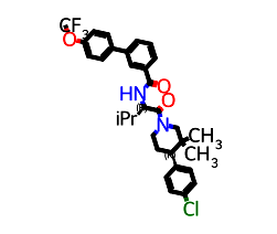 CC(C)[C@@H](NC(=O)c1cccc(-c2ccc(OC(F)(F)F)cc2)c1)C(=O)N1CC[C@H](c2ccc(Cl)cc2)C(C)(C)C1